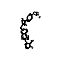 Fc1cccc(-c2nc3ccn(Cc4csc(-c5ccc(C(F)(F)F)cc5)n4)cc-3n2)c1F